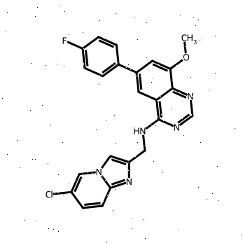 COc1cc(-c2ccc(F)cc2)cc2c(NCc3cn4cc(Cl)ccc4n3)ncnc12